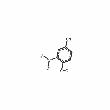 C[S+]([O-])c1cc(C#N)ccc1C=O